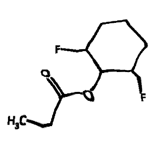 CCC(=O)OC1C(F)CCCC1F